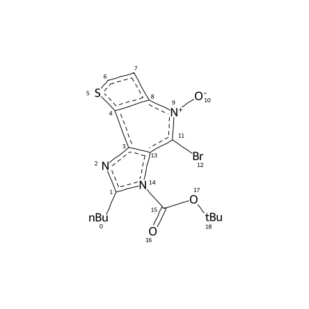 CCCCc1nc2c3sccc3[n+]([O-])c(Br)c2n1C(=O)OC(C)(C)C